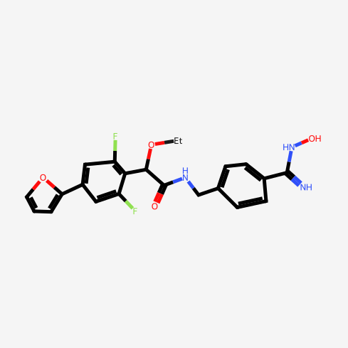 CCOC(C(=O)NCc1ccc(C(=N)NO)cc1)c1c(F)cc(-c2ccco2)cc1F